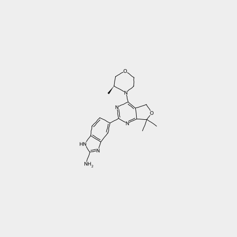 C[C@H]1COCCN1c1nc(-c2ccc3[nH]c(N)nc3c2)nc2c1COC2(C)C